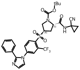 CC(C)(C)OC(=O)N1C[C@H](S(=O)(=O)c2ccc(-n3ccnc3-c3ccccc3)cc2C(F)(F)F)C[C@H]1C(=O)NC1(C#N)CC1